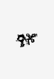 Brc1nccs1.O=S(=O)(O)O